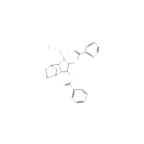 CPC1C(OC(=O)c2ccccc2)C(OC(=O)c2ccccc2)C2C3CCC(C3)C12